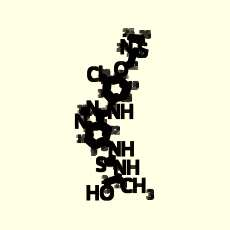 CC(CO)NC(=S)Nc1ccc2ncnc(Nc3ccc(OCc4nccs4)c(Cl)c3)c2c1